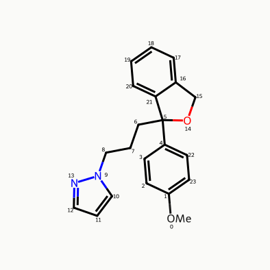 COc1ccc(C2(CCCn3cccn3)OCc3ccccc32)cc1